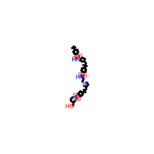 CC(C)(C)c1ccc(S(=O)(=O)NC2CCC(CC(C)(C)c3ccc(S(=O)(=O)NCCN4CCC(CC(C)(C)c5ccc(S(=O)(=O)N6CCCC(CO)C6)cc5)C4)cc3)C2)cc1